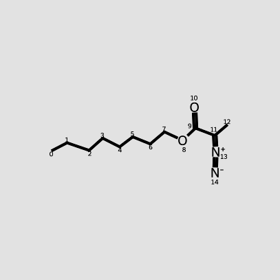 CCCCCCCCOC(=O)C(C)=[N+]=[N-]